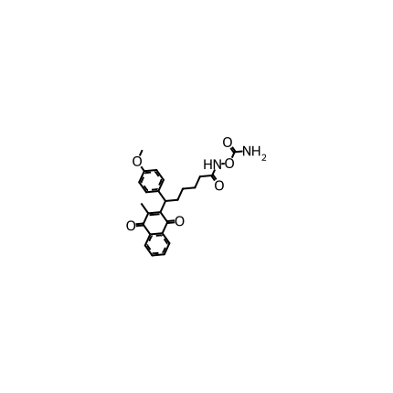 COc1ccc(C(CCCCC(=O)NOC(N)=O)C2=C(C)C(=O)c3ccccc3C2=O)cc1